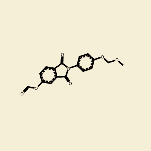 COCOc1ccc(N2C(=O)c3ccc(OC=O)cc3C2=O)cc1